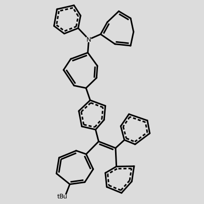 CC(C)(C)C1=CC=C(C(=C(c2ccccc2)c2ccccc2)c2ccc(C3C=CC=C(N(C4=CC=CCC=C4)c4ccccc4)C=C3)cc2)C=C=C1